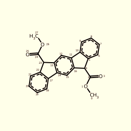 COC(=O)C1c2ccccc2-c2cc3c(cc21)-c1ccccc1C3C(=O)OC